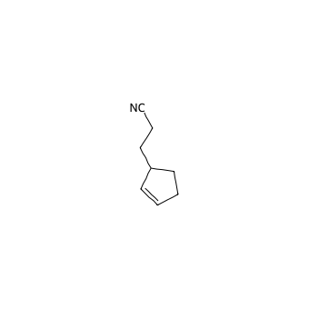 N#CCCC1C=CCC1